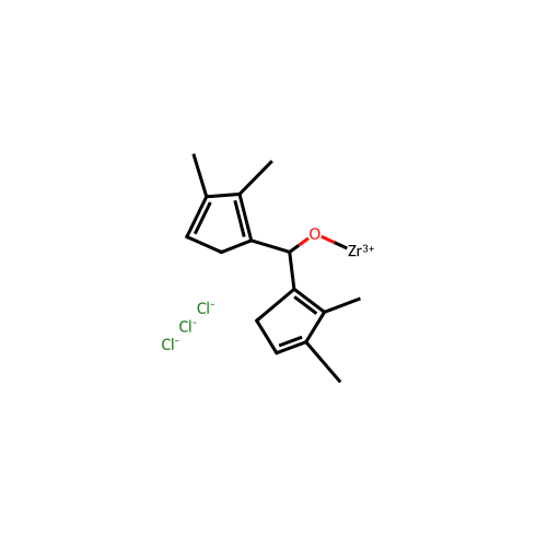 CC1=CCC(C([O][Zr+3])C2=C(C)C(C)=CC2)=C1C.[Cl-].[Cl-].[Cl-]